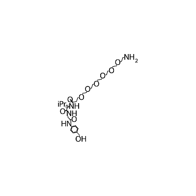 CC(C)[C@H](NC(=O)CCOCCOCCOCCOCCOCCOCCN)C(=O)NCC(=O)Nc1ccc(CO)cc1